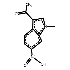 Cn1cc(C(=O)C(F)(F)F)c2ccc([N+](=O)O)cc21